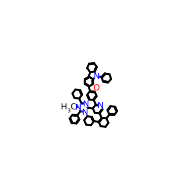 CN1C(C2C=CCCC2)=NC(C2CC(C3=C(C4=CCCCC4)CCCC3c3ccccc3)=CN=C2c2ccc3c(c2)oc2c4c(ccc23)C2CC=CC=C2N4C2=CCCC=C2)=NC1c1ccccc1